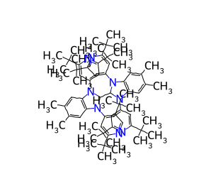 Cc1cc2c(cc1C)N(c1cc(C(C)(C)C)nc(C(C)(C)C)c1)C(C1N(c3cc(C(C)(C)C)nc(C(C)(C)C)c3)c3cc(C)c(C)cc3N1c1cc(C(C)(C)C)ncc1C(C)(C)C)N2c1cc(C(C)(C)C)nc(C(C)(C)C)c1